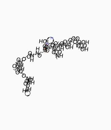 CCN[C@H]1CO[C@@H](OC2C(O)[C@H](NO[C@H]3CC(O)[C@H](SC(=O)c4c(C)c(I)c(O[C@@H]5OC(C)[C@H](O)C(OC)C5O)c(OC)c4OC)C(C)O3)C(C)O[C@H]2O[C@H]2C#C/C=C\C#C[C@@]3(O)CC(=O)C(NC(=O)OC)=C2/C3=C\CSSC(C)(C)CCC(=O)NCCNC(=O)OCc2ccc(NC(=O)[C@H](C)NC(=O)[C@@H](NC(=O)OCCOCCNS(=O)(=O)NC(=O)OC[C@@H]3[C@@H]4CCC#CCC[C@@H]43)C(C)C)cc2)CC1OC